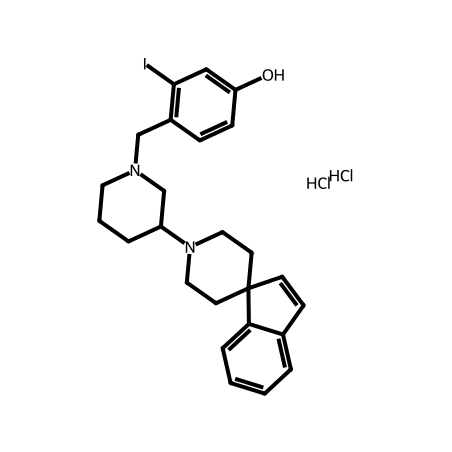 Cl.Cl.Oc1ccc(CN2CCCC(N3CCC4(C=Cc5ccccc54)CC3)C2)c(I)c1